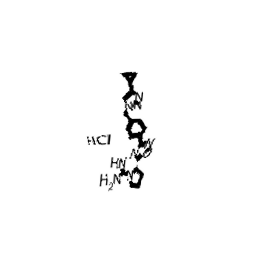 Cl.N=C(N)N1CCC[C@H]1c1nc(-c2ccc(Cn3cc(C4CC4)nn3)cc2)no1